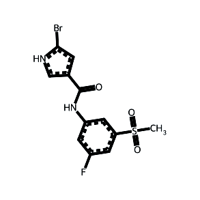 CS(=O)(=O)c1cc(F)cc(NC(=O)c2c[nH]c(Br)c2)c1